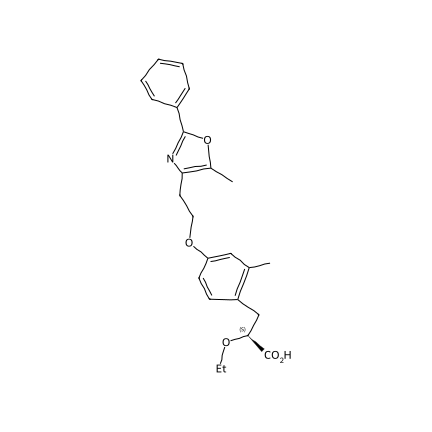 CCO[C@@H](Cc1ccc(OCCc2nc(-c3ccccc3)oc2C)cc1C)C(=O)O